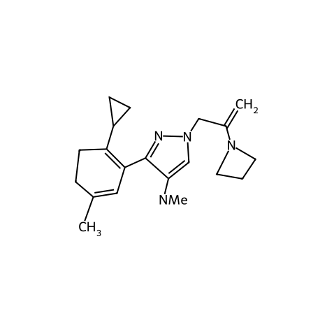 C=C(Cn1cc(NC)c(C2=C(C3CC3)CCC(C)=C2)n1)N1CCC1